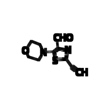 C#Cc1nc(C=O)c(N2CCOCC2)s1